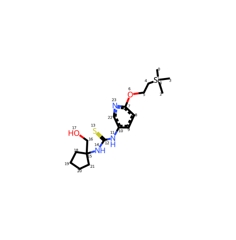 C[Si](C)(C)CCOc1ccc(NC(=S)NC2(CO)CCCC2)cn1